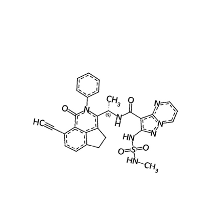 C#Cc1ccc2c3c(c([C@H](C)NC(=O)c4c(NS(=O)(=O)NC)nn5cccnc45)n(-c4ccccc4)c(=O)c13)CC2